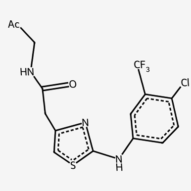 CC(=O)CNC(=O)Cc1csc(Nc2ccc(Cl)c(C(F)(F)F)c2)n1